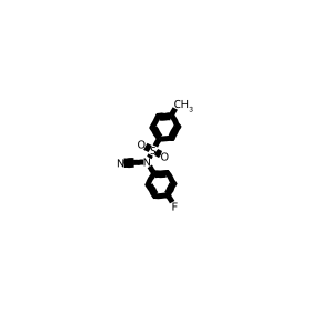 Cc1ccc(S(=O)(=O)N(C#N)c2ccc(F)cc2)cc1